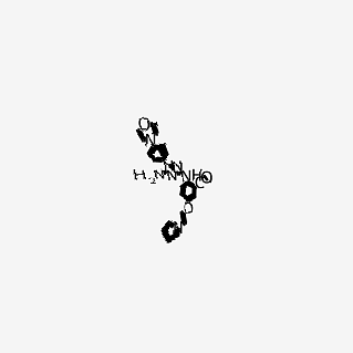 Nc1nc(NC2C=CC(OCCN3CCCC3)=CC2=C=O)nn1-c1ccc(N2CCOCC2)cc1